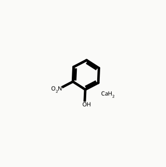 O=[N+]([O-])c1ccccc1O.[CaH2]